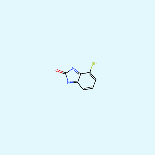 O=C1N=c2cccc(S)c2=N1